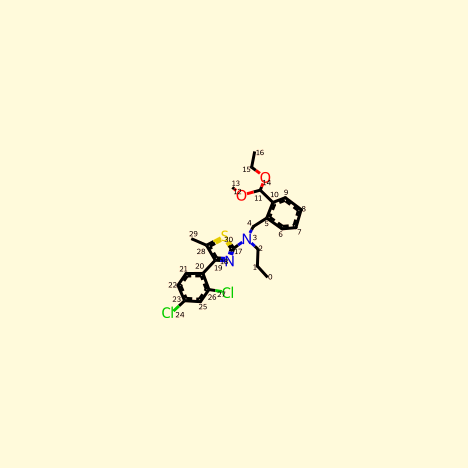 CCCN(Cc1ccccc1C(OC)OCC)c1nc(-c2ccc(Cl)cc2Cl)c(C)s1